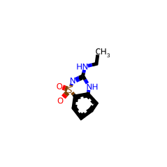 CCNC1=NS(=O)(=O)c2ccccc2N1